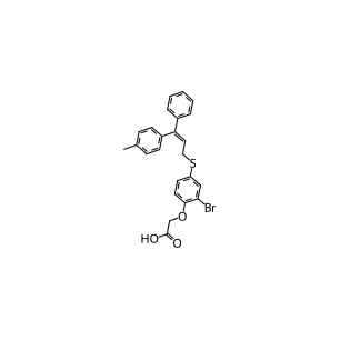 Cc1ccc(/C(=C\CSc2ccc(OCC(=O)O)c(Br)c2)c2ccccc2)cc1